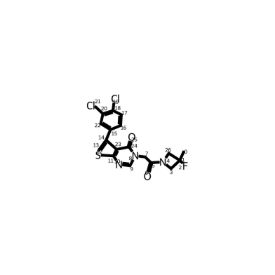 CC1(F)CN(C(=O)Cn2cnc3scc(-c4ccc(Cl)c(Cl)c4)c3c2=O)C1